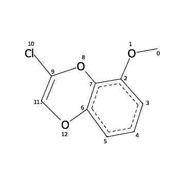 COc1cccc2c1OC(Cl)=[C]O2